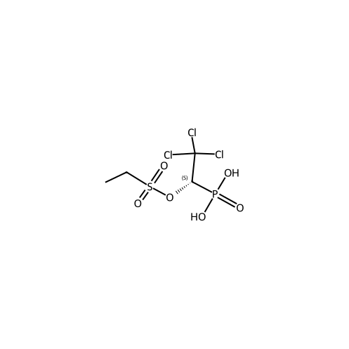 CCS(=O)(=O)O[C@H](C(Cl)(Cl)Cl)P(=O)(O)O